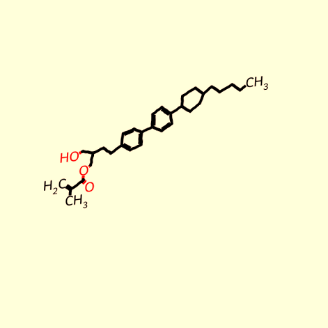 C=C(C)C(=O)OCC(CO)CCc1ccc(-c2ccc(C3CCC(CCCCC)CC3)cc2)cc1